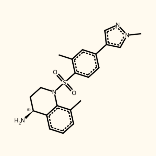 Cc1cc(-c2cnn(C)c2)ccc1S(=O)(=O)N1CC[C@H](N)c2cccc(C)c21